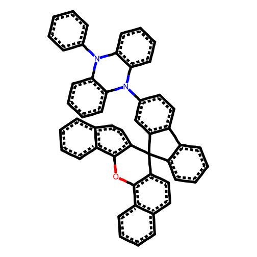 c1ccc(N2c3ccccc3N(c3ccc4c(c3)C3(c5ccccc5-4)c4ccc5ccccc5c4Oc4c3ccc3ccccc43)c3ccccc32)cc1